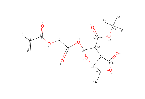 C=C(C)C(=O)OCC(=O)OC1OC2C(C)OC(=O)C2C1C(=O)OC(C)(C)C